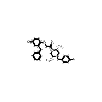 C[C@@H]1CN(Cc2ccc(F)cc2)[C@@H](C)CN1C(=O)COc1ccc(Cl)cc1Cc1ccccc1